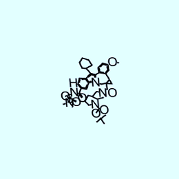 COc1ccc2c(c1)C1CC1(C(=O)N1CC3CCCN(C(=O)OC(C)(C)C)C3C1)Cn1c-2c(C2CCCCC2)c2ccc(C(=O)NS(=O)(=O)N(C)C)cc21